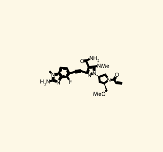 C=CC(=O)N1C[C@@H](n2nc(C#Cc3ccc4c(nc(N)n4C)c3F)c(C(N)=O)c2NC)C[C@@H]1COC